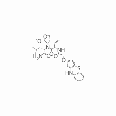 C=C[C@H](NC(=O)COc1ccc2c(c1)Nc1ccccc1S2)C(=O)N([C@@H](CC(C)C)C(N)=O)[C@H]1CCOC1OC